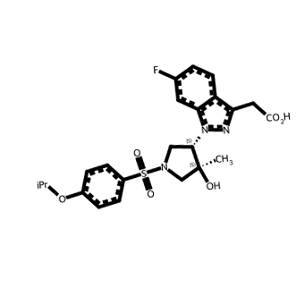 CC(C)Oc1ccc(S(=O)(=O)N2C[C@H](n3nc(CC(=O)O)c4ccc(F)cc43)[C@@](C)(O)C2)cc1